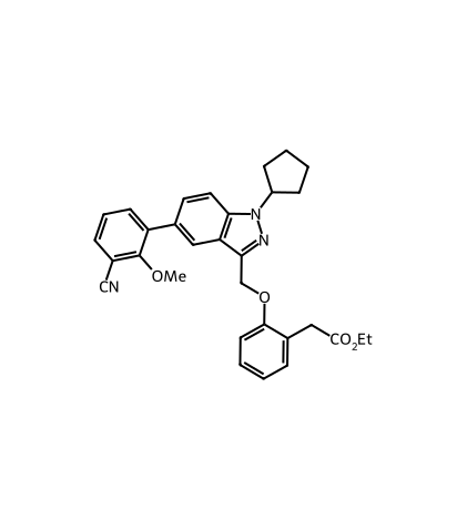 CCOC(=O)Cc1ccccc1OCc1nn(C2CCCC2)c2ccc(-c3cccc(C#N)c3OC)cc12